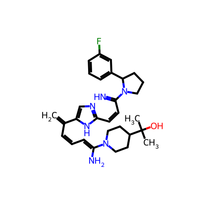 C=C(/C=C\C=C(/N)N1CCC(C(C)(C)O)CC1)c1cnc(/C=C\C(=N)N2CCCC2c2cccc(F)c2)[nH]1